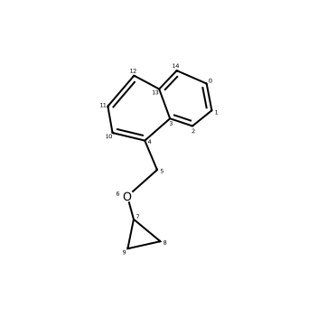 c1ccc2c(COC3CC3)cccc2c1